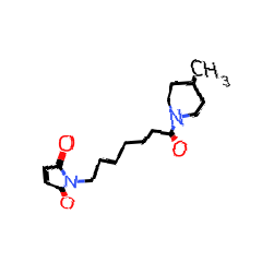 CC1CCN(C(=O)CCCCCCN2C(=O)C=CC2=O)CC1